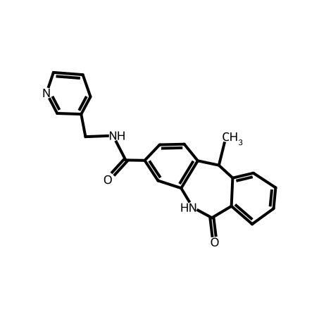 CC1c2ccc(C(=O)NCc3cccnc3)cc2NC(=O)c2ccccc21